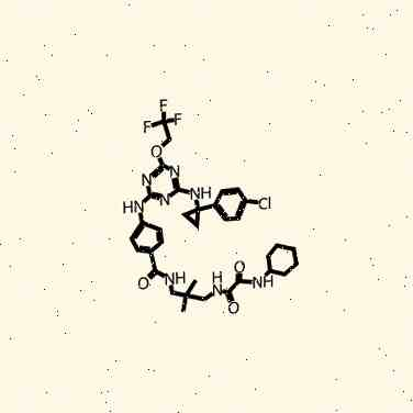 CC(C)(CNC(=O)C(=O)NC1CCCCC1)CNC(=O)c1ccc(Nc2nc(NC3(c4ccc(Cl)cc4)CC3)nc(OCC(F)(F)F)n2)cc1